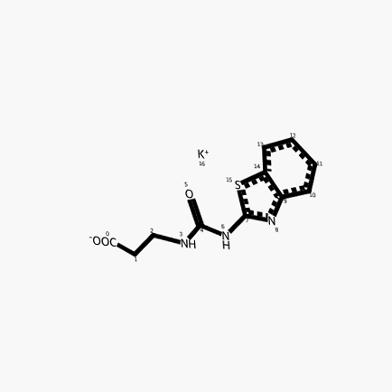 O=C([O-])CCNC(=O)Nc1nc2ccccc2s1.[K+]